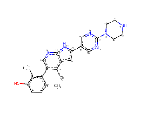 Cc1ccc(O)c(C)c1-c1cnc2[nH]c(-c3cnc(N4CCNCC4)nc3)cc2c1C#N